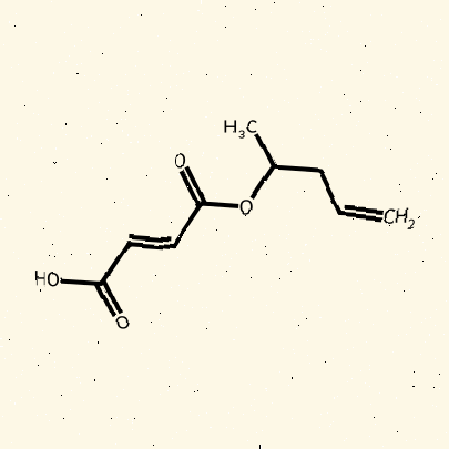 C=CCC(C)OC(=O)C=CC(=O)O